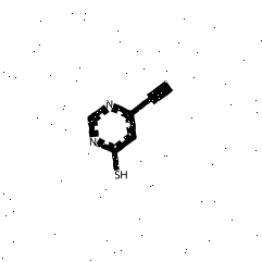 C#Cc1cc(S)ncn1